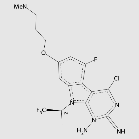 CNCCCOc1cc(F)c2c3c(Cl)nc(=N)n(N)c3n([C@@H](C)C(F)(F)F)c2c1